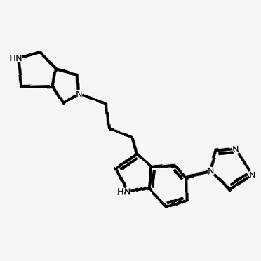 c1cc2[nH]cc(CCCN3CC4CNCC4C3)c2cc1-n1cnnc1